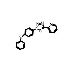 c1ccc(Oc2ccc(-n3nnc(-c4ccccn4)n3)cc2)cc1